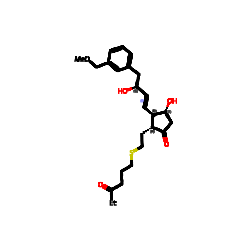 CCC(=O)CCCSCC[C@H]1C(=O)C[C@@H](O)[C@@H]1/C=C/[C@@H](O)Cc1cccc(COC)c1